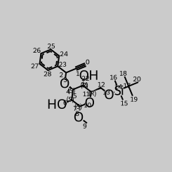 C#CC(O[C@@H]1[C@H](O)[C@@H](OC)O[C@H](CO[Si](C)(C)C(C)(C)C)[C@H]1O)c1ccccc1